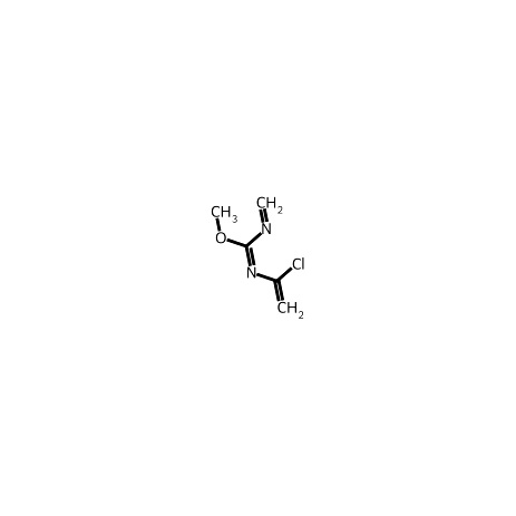 C=N/C(=N\C(=C)Cl)OC